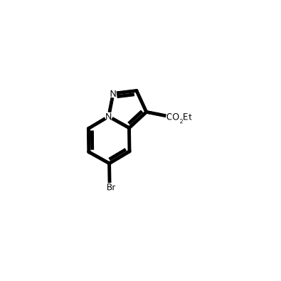 CCOC(=O)c1cnn2ccc(Br)cc12